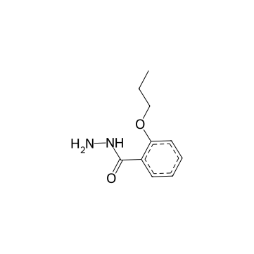 CCCOc1ccccc1C(=O)NN